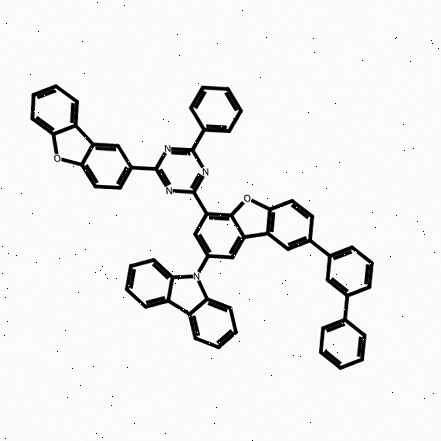 c1ccc(-c2cccc(-c3ccc4oc5c(-c6nc(-c7ccccc7)nc(-c7ccc8oc9ccccc9c8c7)n6)cc(-n6c7ccccc7c7ccccc76)cc5c4c3)c2)cc1